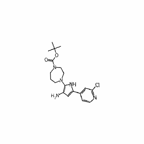 CC(C)(C)OC(=O)N1CCCN(c2[nH]c(-c3ccnc(Cl)c3)cc2N)CC1